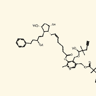 C#CCC(C)(C)C(=O)OCc1cnc(C)c(OC(=O)CCC/C=C\C[C@@H]2[C@@H](CC[C@@H](O)CCc3ccccc3)[C@H](O)C[C@@H]2O)c1COC(O)C(C)(C)CC#C